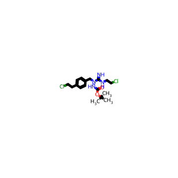 CC(C)(C)OC(=O)NN(Cc1ccc(CCCl)cc1)C(=N)NCCCl